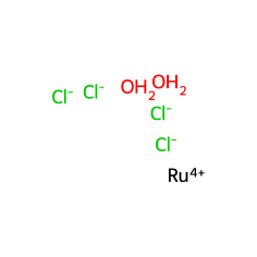 O.O.[Cl-].[Cl-].[Cl-].[Cl-].[Ru+4]